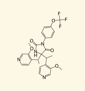 COc1cnccc1C(C)C1(C(C)c2ccncc2OC)NC(=O)N(c2ccc(OC(F)(F)F)cc2)C1=O